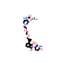 CC(C)(C)OC(=O)NC1CCN(CCOCCOCC2C=C2c2cccc3c2C(=O)N(C2CCC(=O)NC2=O)C3=O)CC1